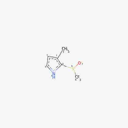 Cc1cc[nH]c1[S+]([O-])C(F)(F)F